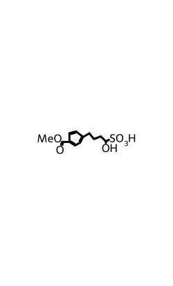 COC(=O)c1ccc(CCCC(O)S(=O)(=O)O)cc1